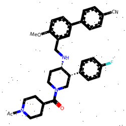 COc1ccc(-c2ccc(C#N)cc2)cc1CN[C@H]1CCN(C(=O)C2CCN(C(C)=O)CC2)C[C@H]1c1ccc(F)cc1